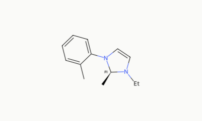 CCN1C=CN(c2ccccc2C)[C@@H]1C